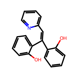 Oc1ccccc1C(=Cc1ccccn1)c1ccccc1O